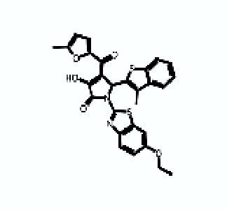 CCOc1ccc2nc(N3C(=O)C(O)=C(C(=O)c4ccc(C)o4)C3c3sc4ccccc4c3C)sc2c1